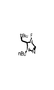 CCCCN1N=CN(F)C1CC(C)(C)C